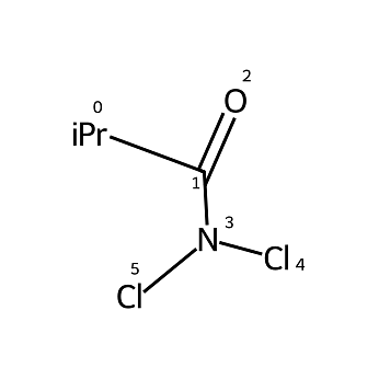 CC(C)C(=O)N(Cl)Cl